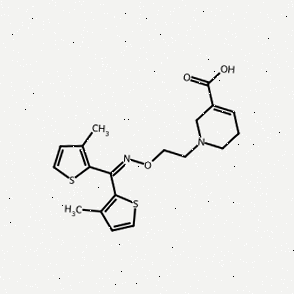 Cc1ccsc1C(=NOCCN1CCC=C(C(=O)O)C1)c1sccc1C